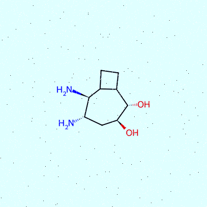 N[C@H]1C[C@H](O)[C@@H](O)C2CCC2[C@@H]1N